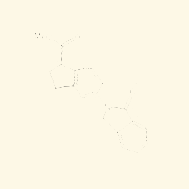 COC(=O)C1CCc2cc(N3Cc4ccccc4C3=O)ccc21